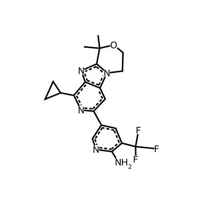 CC1(C)OCCn2c1nc1c(C3CC3)nc(-c3cnc(N)c(C(F)(F)F)c3)cc12